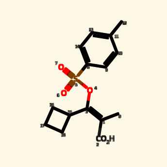 CC(C(=O)O)=C(OS(=O)(=O)c1ccc(C)cc1)C1CCC1